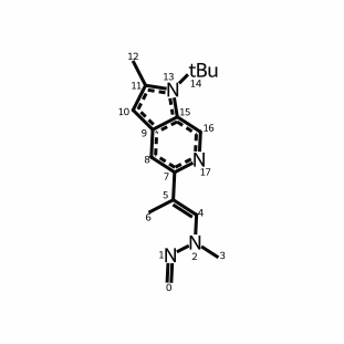 C=NN(C)/C=C(\C)c1cc2cc(C)n(C(C)(C)C)c2cn1